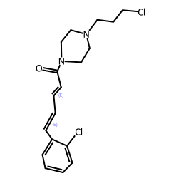 O=C(/C=C/C=C/c1ccccc1Cl)N1CCN(CCCCl)CC1